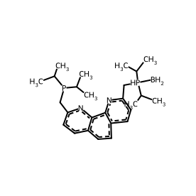 B[PH](Cc1ccc2ccc3ccc(CP(C(C)C)C(C)C)nc3c2n1)(C(C)C)C(C)C